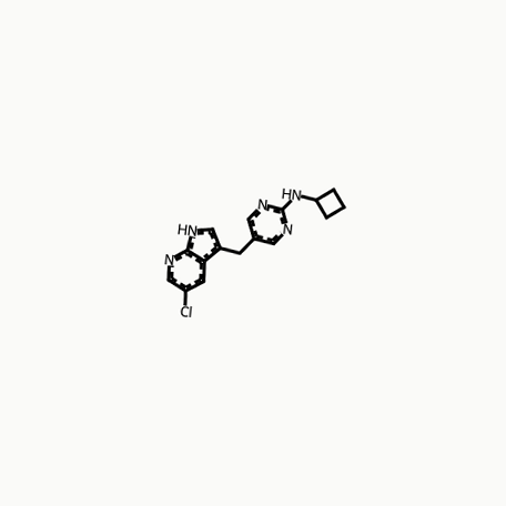 Clc1cnc2[nH]cc(Cc3cnc(NC4CCC4)nc3)c2c1